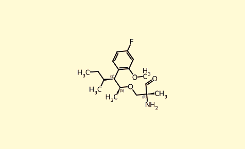 CCC(C)[C@@H](c1ccc(F)cc1OC)[C@H](C)OC[C@@](C)(N)C=O